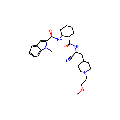 COCCN1CCC(CC(C#N)NC(=O)[C@@H]2CCCC[C@@H]2NC(=O)c2cc3ccccc3n2C)CC1